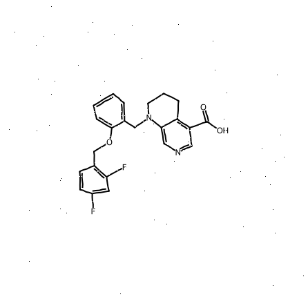 O=C(O)c1cncc2c1CCCN2Cc1ccccc1OCc1ccc(F)cc1F